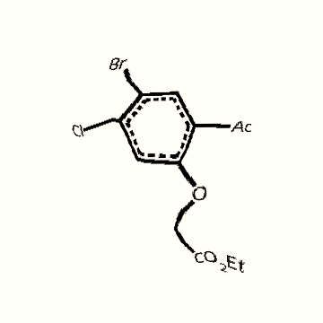 CCOC(=O)COc1cc(Cl)c(Br)cc1C(C)=O